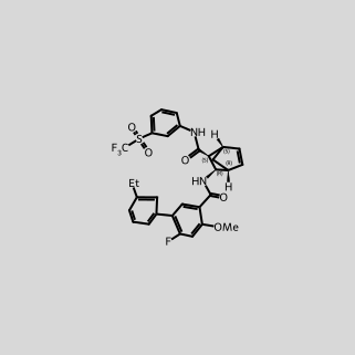 CCc1cccc(-c2cc(C(=O)N[C@H]3[C@@H](C(=O)Nc4cccc(S(=O)(=O)C(F)(F)F)c4)[C@@H]4C=C[C@H]3C4)c(OC)cc2F)c1